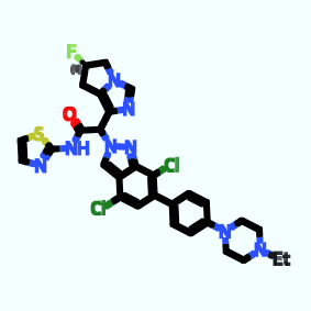 CCN1CCN(c2ccc(-c3cc(Cl)c4cn(C(C(=O)Nc5nccs5)c5ncn6c5C[C@@H](F)C6)nc4c3Cl)cc2)CC1